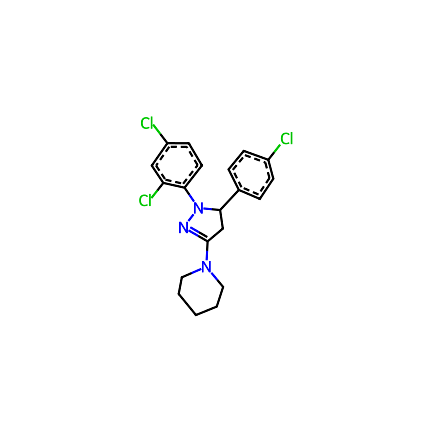 Clc1ccc(C2CC(N3CCCCC3)=NN2c2ccc(Cl)cc2Cl)cc1